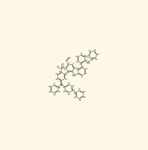 C=Cc1cc2c(oc3cccc(-c4cccc5c4sc4ccccc45)c32)c2c1C(C)(C)c1ccc(N(c3ccccc3)c3ccc(-c4ccccc4)cc3)cc1-2